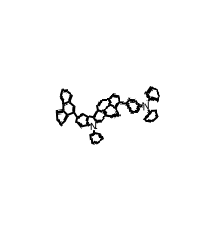 c1ccc(N(c2ccccc2)c2ccc(-c3ccc4ccc5c6c(ccc3c46)cc3c5c4cc(-c5cc6ccccc6c6ccccc56)ccc4n3-c3ccccc3)cc2)cc1